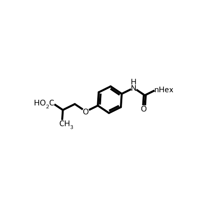 CCCCCCC(=O)Nc1ccc(OCC(C)C(=O)O)cc1